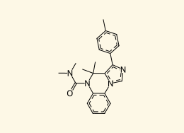 Cc1ccc(-c2ncn3c2C(C)(C)N(C(=O)N(C)C)c2ccccc2-3)cc1